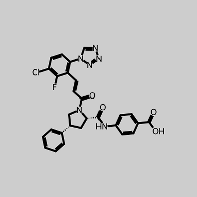 O=C(O)c1ccc(NC(=O)[C@@H]2C[C@H](c3ccccc3)CN2C(=O)/C=C/c2c(-n3cnnn3)ccc(Cl)c2F)cc1